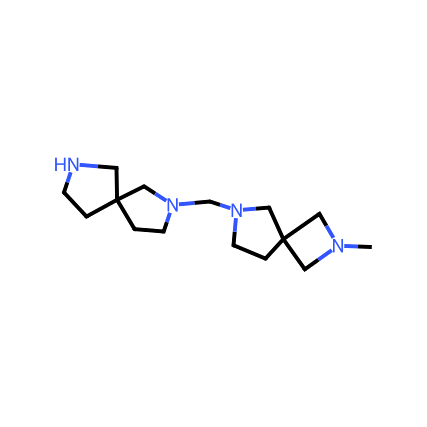 CN1CC2(CCN(CN3CCC4(CCNC4)C3)C2)C1